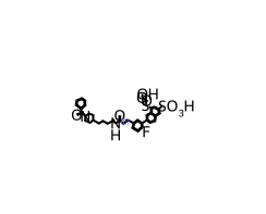 O=C(/C=C/c1ccc(F)c(-c2ccc3cc(S(=O)(=O)O)cc(SOOO)c3c2)c1)NCCCCC1CCN(C(=O)c2ccccc2)CC1